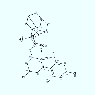 NC(=O)C12CC3CC(C1)C(NC(=O)CN1CC(Cl)CN(c4c(Cl)cc(Cl)cc4Cl)S1(=O)=O)C(C3)C2